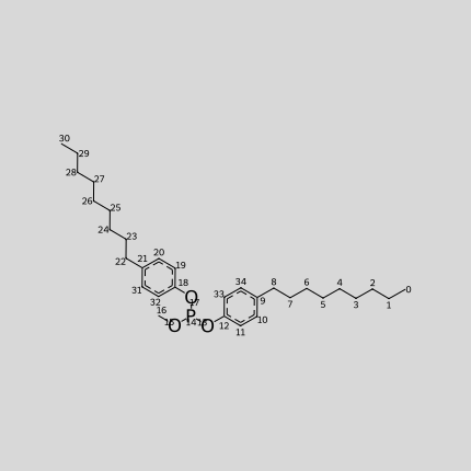 CCCCCCCCCc1ccc(OP(OC)Oc2ccc(CCCCCCCCC)cc2)cc1